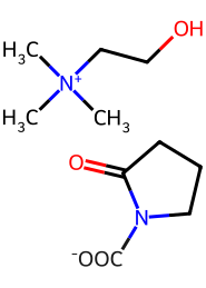 C[N+](C)(C)CCO.O=C([O-])N1CCCC1=O